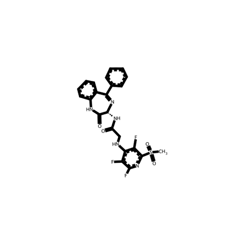 CS(=O)(=O)c1nc(F)c(F)c(NCC(=O)N[C@H]2N=C(c3ccccc3)c3ccccc3NC2=O)c1F